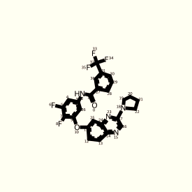 O=C(Nc1cc(F)c(F)c(Oc2ccc3ncc(N4CCCC4)nc3c2)c1)c1cccc(C(F)(F)F)c1